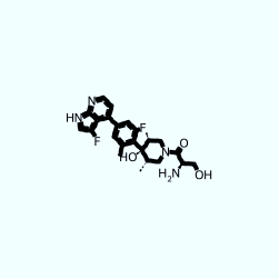 Cc1cc(-c2ccnc3[nH]cc(F)c23)cc(F)c1[C@@]1(O)[C@H](C)CN(C(=O)[C@H](N)CO)C[C@@H]1C